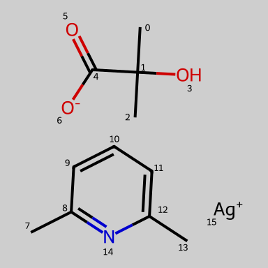 CC(C)(O)C(=O)[O-].Cc1cccc(C)n1.[Ag+]